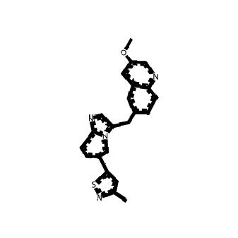 COc1cnc2ccc(Cc3cnc4ccc(-c5cc(C)ns5)cn34)cc2c1